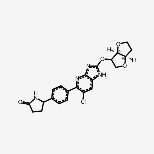 O=C1CCC(c2ccc(-c3nc4nc(OC5CO[C@@H]6CCO[C@H]56)[nH]c4cc3Cl)cc2)N1